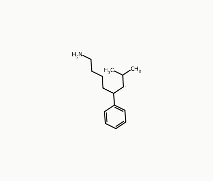 CC(C)[CH]C(CCCCN)c1ccccc1